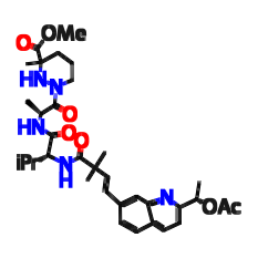 COC(=O)C1(C)CCCN(C(=O)[C@H](C)NC(=O)[C@@H](NC(=O)C(C)(C)C=Cc2ccc3ccc([C@@H](C)OC(C)=O)nc3c2)C(C)C)N1